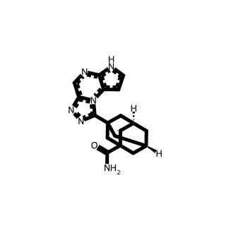 NC(=O)C12[CH][C@@H]3C[C@H](C1)CC(c1nnc4cnc5[nH]ccc5n14)(C3)C2